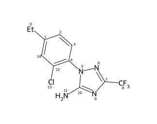 CCc1ccc(-n2nc(C(F)(F)F)nc2N)c(Cl)c1